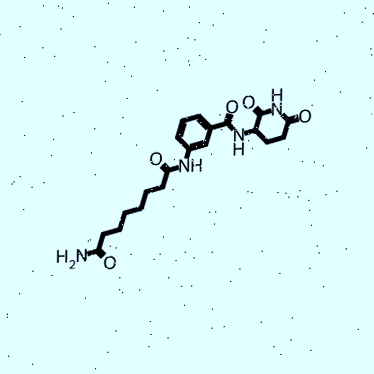 NC(=O)CCCCCCC(=O)Nc1cccc(C(=O)NC2CCC(=O)NC2=O)c1